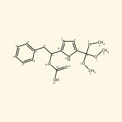 COC(OC)(OC)c1cnc(C(Cc2ccccc2)OC(=O)O)[nH]1